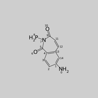 Nc1ccc2c(=O)n(P)c(=O)ccc2c1